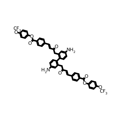 Nc1ccc(-c2ccc(N)cc2CC(=O)/C=C/c2ccc(C(=O)Oc3ccc(OC(F)(F)F)cc3)cc2)c(CC(=O)/C=C/c2ccc(C(=O)Oc3ccc(OC(F)(F)F)cc3)cc2)c1